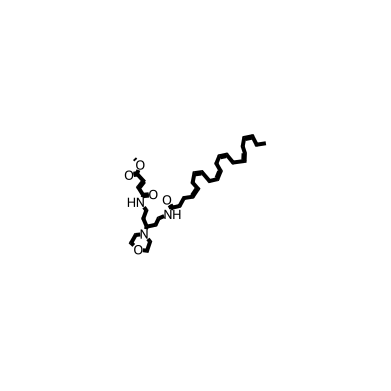 CC/C=C\C/C=C\C/C=C\C/C=C\C/C=C\C/C=C\CCC(=O)NCCC(CCNC(=O)/C=C/C(=O)OC)N1CCOCC1